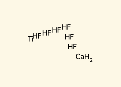 F.F.F.F.F.F.[CaH2].[Ti]